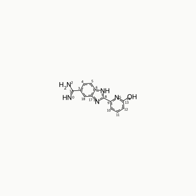 N=C(N)c1ccc2[nH]c(-c3cccc(O)n3)nc2c1